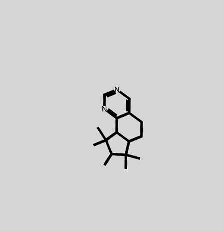 CC1C(C)(C)C2CCc3cncnc3C2C1(C)C